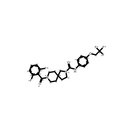 O=C(Nc1ccc(OCC(F)(F)F)cc1)N1CCC2(CCN(C(=O)c3c(F)cccc3F)CC2)C1